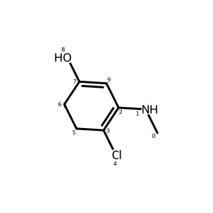 CNC1=C(Cl)C[CH]C(O)=C1